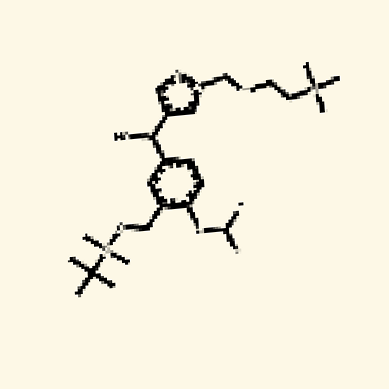 CC(C)(C)[Si](C)(C)OCc1cc(C(O)c2cnn(COCC[Si](C)(C)C)c2)ccc1OC(F)F